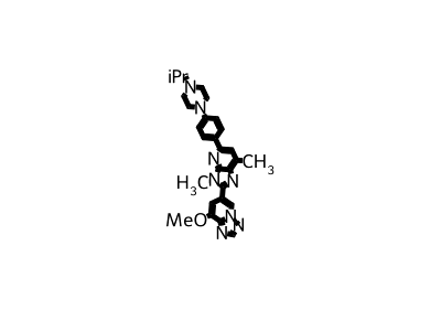 COc1cc(-c2nc3c(C)cc(-c4ccc(N5CCN(C(C)C)CC5)cc4)nc3n2C)cn2ncnc12